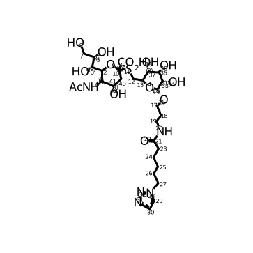 CC(=O)N[C@H]1C([C@H](O)[C@H](O)CO)O[C@@](SCC2O[C@@H](OCCCNC(=O)CCCCCn3ccnn3)[C@@H](O)C(O)[C@H]2O)(C(=O)O)C[C@H]1O